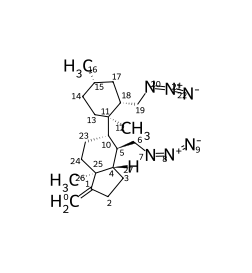 C=C1CC[C@H]2[C@H](CN=[N+]=[N-])[C@@H]([C@@]3(C)CC[C@H](C)C[C@@H]3CN=[N+]=[N-])CC[C@]12C